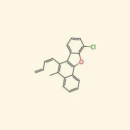 C=C/C=C\c1c(C)c2ccccc2c2oc3c(Cl)cccc3c12